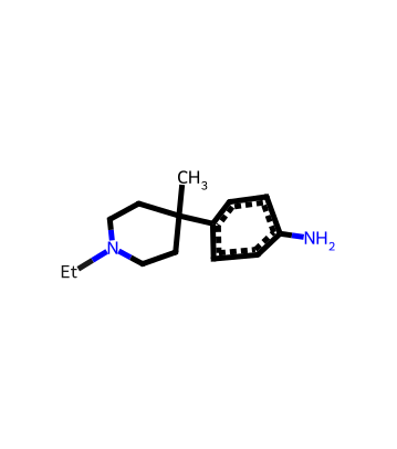 CCN1CCC(C)(c2ccc(N)cc2)CC1